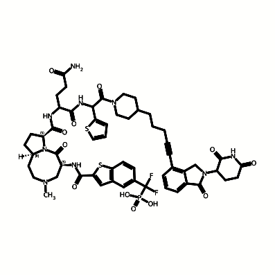 CN1CC[C@H]2CC[C@@H](C(=O)NC(CCC(N)=O)C(=O)NC(C(=O)N3CCC(CCCC#Cc4cccc5c4CN(C4CCC(=O)NC4=O)C5=O)CC3)c3cccs3)N2C(=O)[C@@H](NC(=O)c2cc3cc(C(F)(F)P(=O)(O)O)ccc3s2)C1